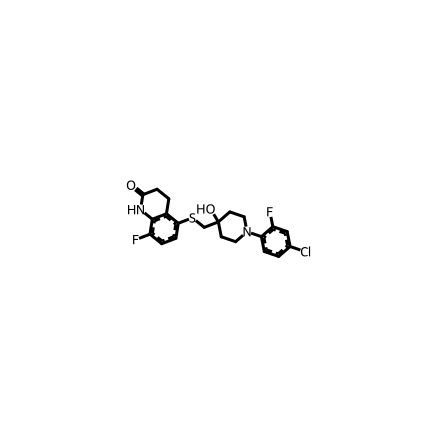 O=C1CCc2c(SCC3(O)CCN(c4ccc(Cl)cc4F)CC3)ccc(F)c2N1